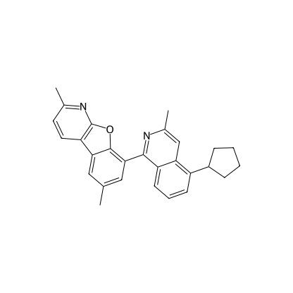 Cc1cc(-c2nc(C)cc3c(C4CCCC4)cccc23)c2oc3nc(C)ccc3c2c1